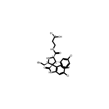 CC[C@@H](O)CCNC(=O)[C@@H]1N[C@H](CC(C)(C)C)[C@]2(C(=O)Nc3cc(Cl)c(F)cc32)[C@H]1c1cccc(Cl)c1